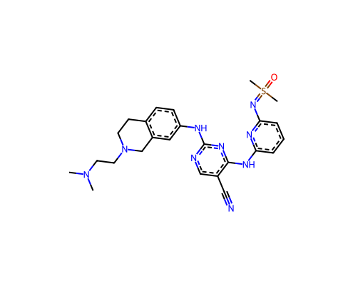 CN(C)CCN1CCc2ccc(Nc3ncc(C#N)c(Nc4cccc(N=S(C)(C)=O)n4)n3)cc2C1